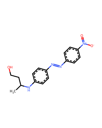 CC(CCO)Nc1ccc(N=Nc2ccc([N+](=O)[O-])cc2)cc1